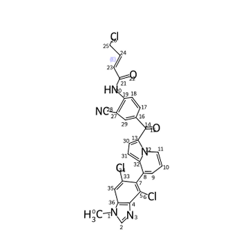 Cn1cnc2c(Cl)c(-c3cccn4c(C(=O)c5ccc(NC(=O)/C=C/CCl)c(C#N)c5)ccc34)c(Cl)cc21